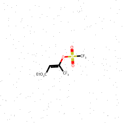 CCOC(=O)/C=C(/OS(=O)(=O)C(F)(F)F)C(F)(F)F